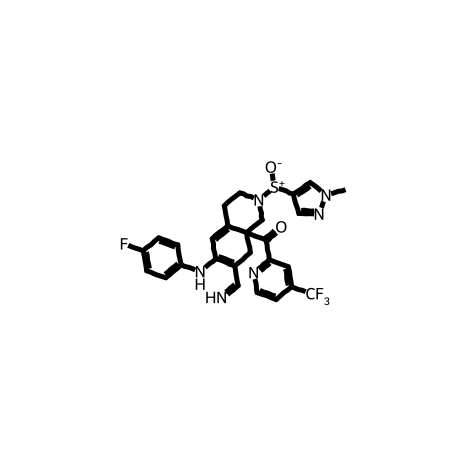 Cn1cc([S+]([O-])N2CCC3=CC(Nc4ccc(F)cc4)=C(C=N)CC3(C(=O)c3cc(C(F)(F)F)ccn3)C2)cn1